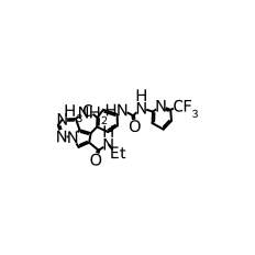 CCNC(=O)c1cn2ncnc(N)c2c1-c1ccc(NC(=O)Nc2cccc(C(F)(F)F)n2)cc1C